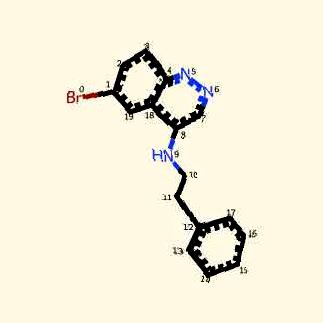 Brc1ccc2nncc(NCCc3ccccc3)c2c1